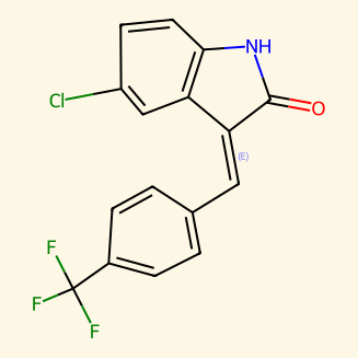 O=C1Nc2ccc(Cl)cc2/C1=C\c1ccc(C(F)(F)F)cc1